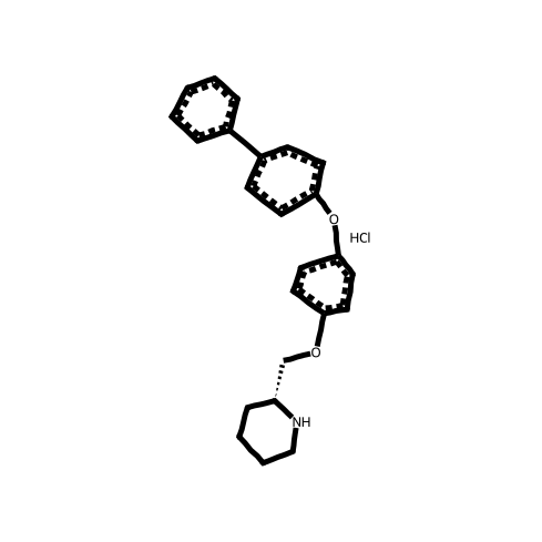 Cl.c1ccc(-c2ccc(Oc3ccc(OC[C@H]4CCCCN4)cc3)cc2)cc1